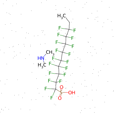 CCC(F)(F)C(F)(F)C(F)(F)C(F)(F)C(F)(F)C(F)(F)C(F)(F)C(F)(F)C(F)(F)S(=O)(=O)O.CNC